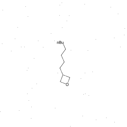 CCCCCCCCC1COC1